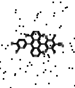 Fc1ccc(-c2c3cccc(F)c3c(-c3c(F)c(F)c(C(F)(F)F)c(F)c3F)c3c(F)ccc(F)c23)cc1F